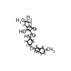 Cc1ccc2nc(Oc3ccc(NC(=O)C4=C(O)C(CC(C)C)NC4=O)cc3)sc2c1